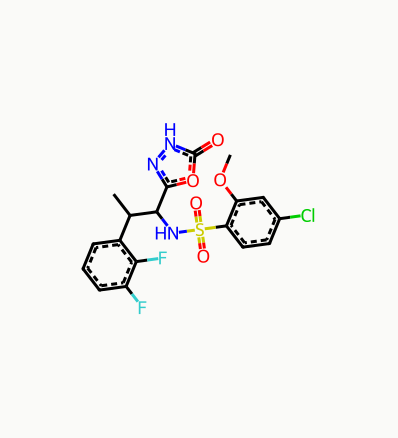 COc1cc(Cl)ccc1S(=O)(=O)NC(c1n[nH]c(=O)o1)C(C)c1cccc(F)c1F